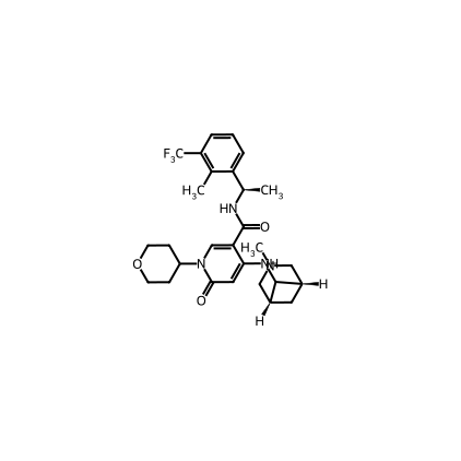 Cc1c([C@@H](C)NC(=O)c2cn(C3CCOCC3)c(=O)cc2NC2[C@@H]3C[C@H]2CN(C)C3)cccc1C(F)(F)F